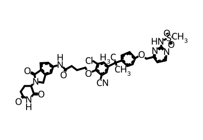 CC(C)(c1ccc(OCc2ccnc(NS(C)(=O)=O)n2)cc1)c1cc(Cl)c(OCCCC(=O)Nc2ccc3c(c2)CN(C2CCC(=O)NC2=O)C3=O)c(C#N)c1